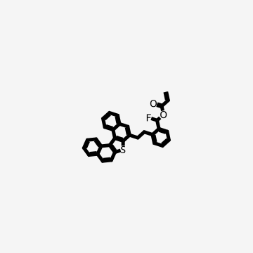 C=CC(=O)OC(F)c1ccccc1CCc1cc2ccccc2c2c1sc1ccc3ccccc3c12